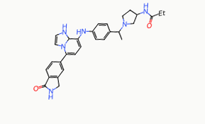 CCC(=O)NC1CCN(C(C)c2ccc(NC3=CC=C(c4ccc5c(c4)CNC5=O)N4C=CNC34)cc2)C1